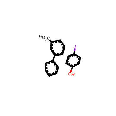 O=C(O)c1cccc(-c2ccccc2)c1.Oc1ccc(I)cc1